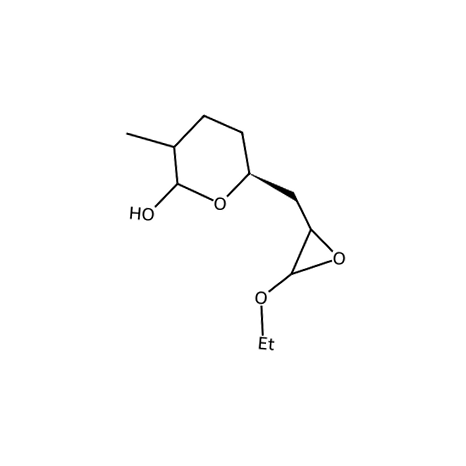 CCOC1OC1C[C@@H]1CCC(C)C(O)O1